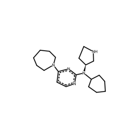 c1cc(N2CCCCCC2)nc(N(C2CCCCC2)[C@H]2CCNC2)n1